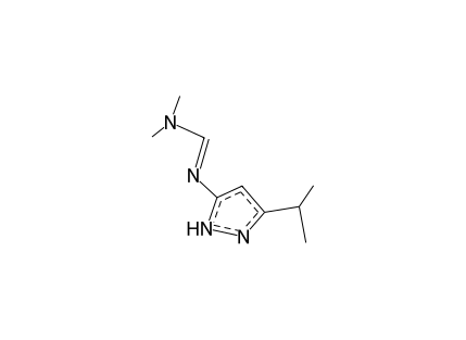 CC(C)c1cc(N=CN(C)C)[nH]n1